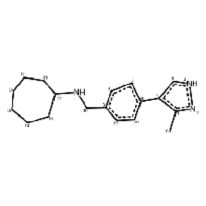 Cc1n[nH]cc1-c1ccc(CNC2CCCCCC2)cc1